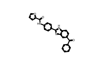 O=C(c1ccccc1)c1ccc2[nH]c(-c3ccc(NC(=O)c4ccco4)cc3)nc2c1